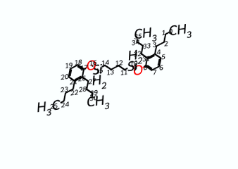 CCCCc1cccc(O[SiH2]CCCC[SiH2]Oc2cccc(CCCC)c2CCCC)c1CCCC